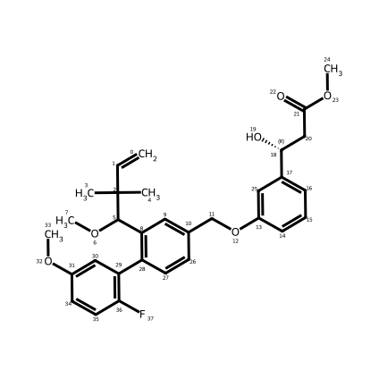 C=CC(C)(C)C(OC)c1cc(COc2cccc([C@H](O)CC(=O)OC)c2)ccc1-c1cc(OC)ccc1F